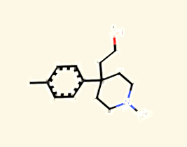 Cc1ccc(C2(CCO)CCN(C(C)(C)C)CC2)cc1